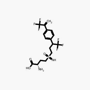 C=C(c1ccc(C(CCS(=N)(=O)CC[C@H](N)C(=O)O)C(F)(F)F)cc1)C(F)(F)F